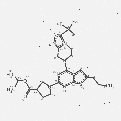 CCCc1cc2c(N3CCn4c(nnc4C(F)(F)F)C3)nc(N3CCC(C(=O)OC(C)C)C3)nc2s1